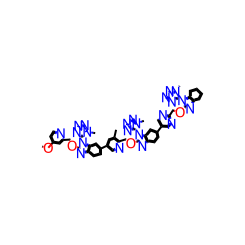 COc1ccnc(COc2nc3ccc(-c4cnc(COc5nc6ccc(-c7cnc(COc8nc9ccccc9n8-c8nnnn8C)nc7)cc6n5-c5nnnn5C)c(C)c4)cc3n2-c2nnnn2C)c1